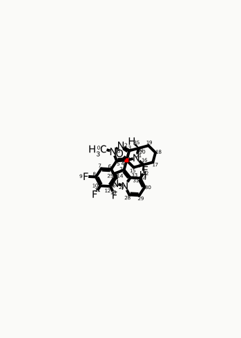 Cn1nc2c(c1-c1cc(F)c(F)c(F)c1)C[C@H]1CCC[C@@H]2N1C(=O)c1cnn2cccc(F)c12